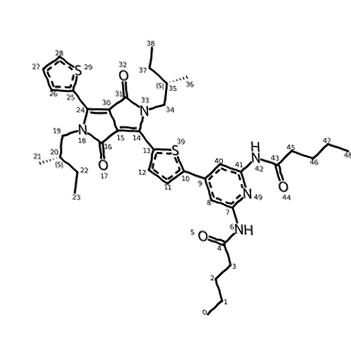 CCCCC(=O)Nc1cc(-c2ccc(C3=C4C(=O)N(C[C@@H](C)CC)C(c5cccs5)=C4C(=O)N3C[C@@H](C)CC)s2)cc(NC(=O)CCCC)n1